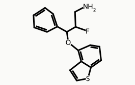 NCC(F)C(Oc1cccc2sccc12)c1ccccc1